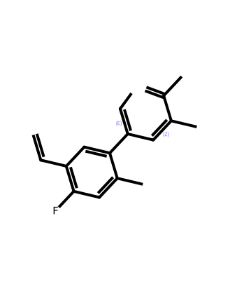 C=Cc1cc(C(/C=C(/C)C(=C)C)=C/C)c(C)cc1F